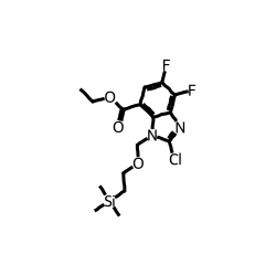 CCOC(=O)c1cc(F)c(F)c2nc(Cl)n(COCC[Si](C)(C)C)c12